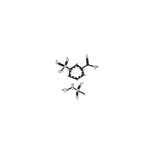 CS(=O)(=O)NN.O=C(O)c1cccc(S(=O)(=O)Cl)c1